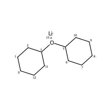 C1CCC(OC2CCCCC2)CC1.[Li]